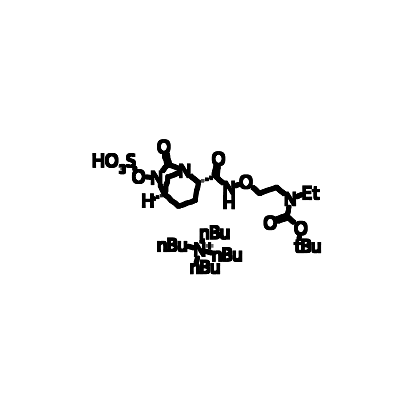 CCCC[N+](CCCC)(CCCC)CCCC.CCN(CCONC(=O)[C@@H]1CC[C@@H]2CN1C(=O)N2OS(=O)(=O)O)C(=O)OC(C)(C)C